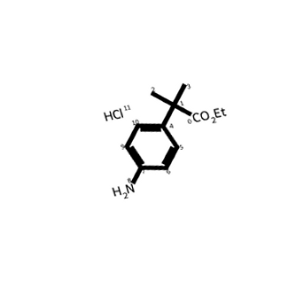 CCOC(=O)C(C)(C)c1ccc(N)cc1.Cl